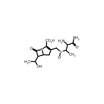 CC(O)C1C(=O)N2C(C(=O)O)=C(C[S+]([O-])C(C)C(N)C(N)=O)CC12